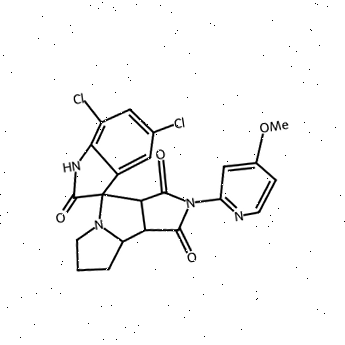 COc1ccnc(N2C(=O)C3C4CCCN4C4(C(=O)Nc5c(Cl)cc(Cl)cc54)C3C2=O)c1